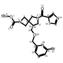 CC(C)(C)OC(=O)N1CC2(C1)CN(C(=O)c1cncs1)C[C@H]2COCc1cccc(Br)n1